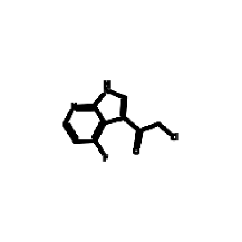 O=C(CCl)c1c[nH]c2nccc(F)c12